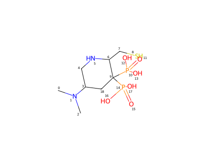 CN(C)C1CNC(CS)C(P(=O)(O)O)(P(=O)(O)O)C1